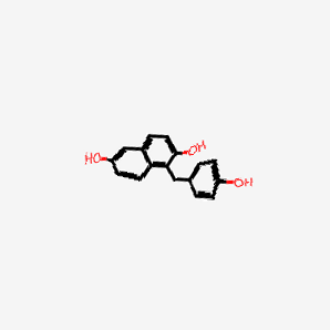 Oc1ccc(Cc2c(O)ccc3cc(O)ccc23)cc1